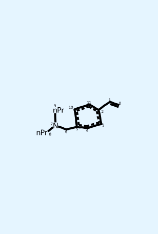 C=Cc1ccc(CN(CCC)CCC)cc1